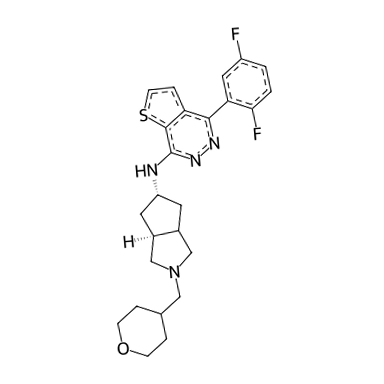 Fc1ccc(F)c(-c2nnc(N[C@@H]3CC4CN(CC5CCOCC5)C[C@H]4C3)c3sccc23)c1